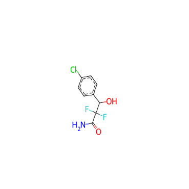 NC(=O)C(F)(F)C(O)c1ccc(Cl)cc1